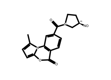 Cc1ccc2oc(=O)c3ccc(C(=O)N4CC[C@@H](N=O)C4)cc3n12